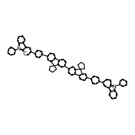 c1ccc(-n2c3ccccc3c3cc(-c4ccc(-c5ccc6c(c5)C5(CCCC5)c5cc(-c7ccc8c(c7)C7(CCCC7)c7cc(-c9ccc(-c%10ccc%11c(c%10)c%10ccccc%10n%11-c%10ccccc%10)cc9)ccc7-8)ccc5-6)cc4)ccc32)cc1